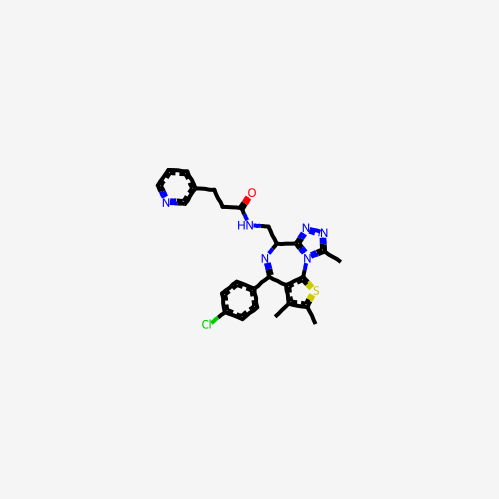 Cc1sc2c(c1C)C(c1ccc(Cl)cc1)=NC(CNC(=O)CCc1cccnc1)c1nnc(C)n1-2